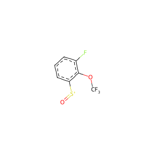 O=[S+]c1cccc(F)c1OC(F)(F)F